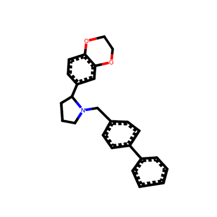 c1ccc(-c2ccc(CN3CCCC3c3ccc4c(c3)OCCO4)cc2)cc1